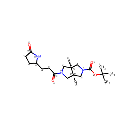 CC(C)(C)OC(=O)N1C[C@H]2CN(C(=O)CCC3CCC(=O)N3)C[C@@H]2C1